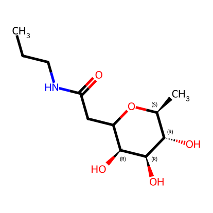 CCCNC(=O)CC1O[C@@H](C)[C@H](O)[C@@H](O)[C@H]1O